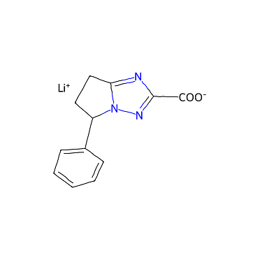 O=C([O-])c1nc2n(n1)C(c1ccccc1)CC2.[Li+]